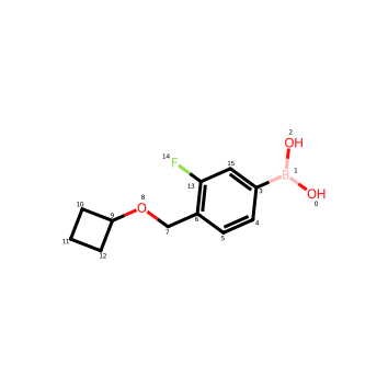 OB(O)c1ccc(COC2CCC2)c(F)c1